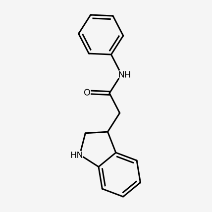 O=C(CC1CNc2ccccc21)Nc1ccccc1